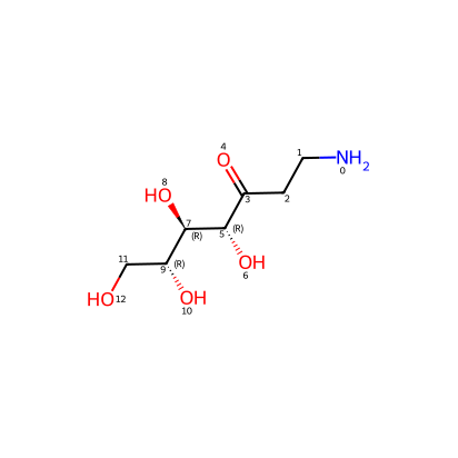 NCCC(=O)[C@H](O)[C@H](O)[C@H](O)CO